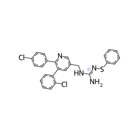 N/C(=N\Sc1ccccc1)NCc1cnc(-c2ccc(Cl)cc2)c(-c2ccccc2Cl)c1